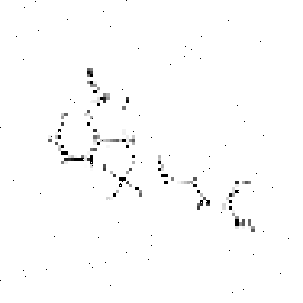 CC(C)(C)C(C=CCOC(N)=O)Nc1ncccc1[N+](=O)[O-]